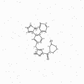 CCC1CCCC(C(=O)c2n[nH]c(Cc3ccc(-c4ccccc4)c(-c4nnn[nH]4)c3)n2)C1